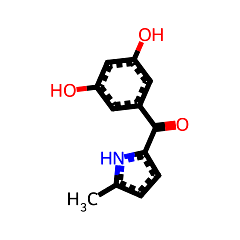 Cc1ccc(C(=O)c2cc(O)cc(O)c2)[nH]1